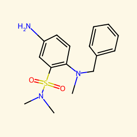 CN(Cc1ccccc1)c1ccc(N)cc1S(=O)(=O)N(C)C